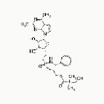 CC1=NC2C(N=CN2[C@@H]2O[C@H](COP(=O)(NCc3ccccc3)OCCSC(=O)C(C)(C)CO)C(O)[C@H]2O)C(N)=N1